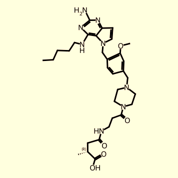 CCCCCNc1nc(N)nc2ccn(Cc3ccc(CN4CCN(C(=O)CCNC(=O)C[C@@H](C)C(=O)O)CC4)cc3OC)c12